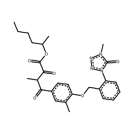 CCCCC(C)OC(=O)C(=O)C(C)C(=O)c1ccc(OCc2ccccc2-n2nnn(C)c2=O)c(C)c1